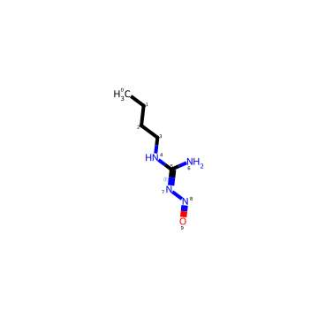 CCCCN/C(N)=N/N=O